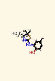 Cc1ccc(O)c(NC2=N[C@@H](C(=O)O)C(C)(C)S2)c1